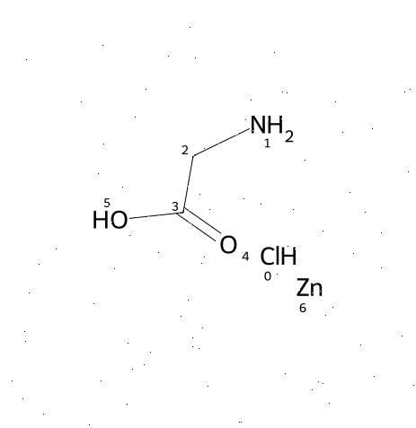 Cl.NCC(=O)O.[Zn]